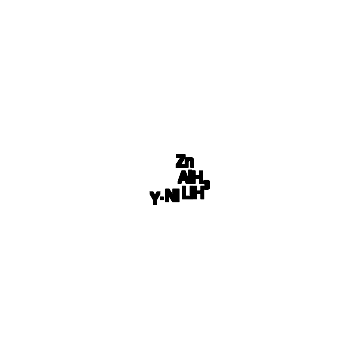 [AlH3].[LiH].[Ni].[Y].[Zn]